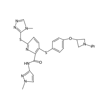 CC(C)N1CC(Oc2ccc(Sc3ccc(Sc4nncn4C)nc3C(=O)Nc3ccn(C)n3)cc2)C1